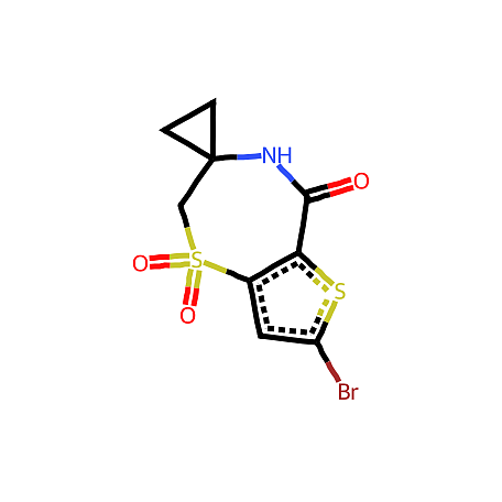 O=C1NC2(CC2)CS(=O)(=O)c2cc(Br)sc21